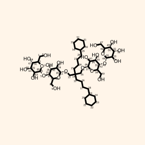 OCC1O[C@H](O[C@@H]2C(CO)O[C@@H](OCC(CCCCC3CCCCC3)(CCCCC3CCCCC3)CO[C@@H]3OC(CO)[C@@H](O[C@@H]4OC(CO)[C@@H](O)[C@H](O)C4O)[C@H](O)C3O)C(O)[C@H]2O)C(O)[C@@H](O)[C@@H]1O